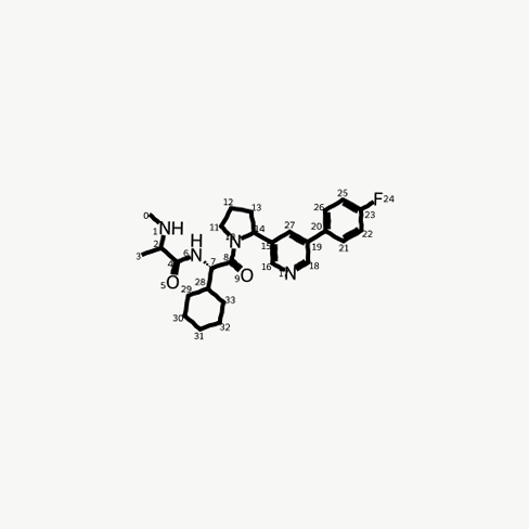 CNC(C)C(=O)N[C@H](C(=O)N1CCCC1c1cncc(-c2ccc(F)cc2)c1)C1CCCCC1